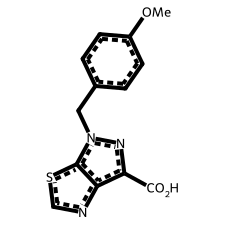 COc1ccc(Cn2nc(C(=O)O)c3ncsc32)cc1